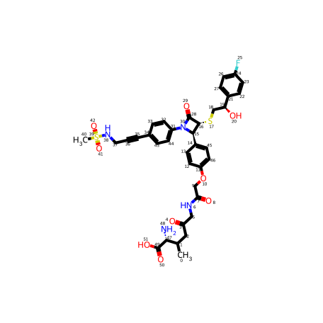 CC(CC(=O)CNC(=O)COc1ccc([C@@H]2[C@@H](SC[C@H](O)c3ccc(F)cc3)C(=O)N2c2ccc(C#CCNS(C)(=O)=O)cc2)cc1)[C@@H](N)C(=O)O